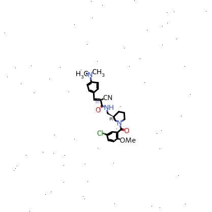 COc1ccc(Cl)cc1C(=O)N1CCC[C@H](CNC(=O)/C(C#N)=C/c2ccc(N(C)C)cc2)C1